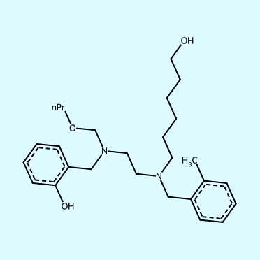 CCCOCN(CCN(CCCCCCO)Cc1ccccc1C)Cc1ccccc1O